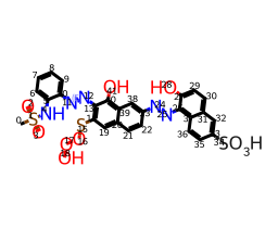 CS(=O)(=O)Nc1ccccc1/N=N/c1c(SOOO)cc2ccc(N=Nc3c(O)ccc4cc(S(=O)(=O)O)ccc34)cc2c1O